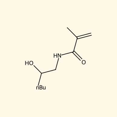 C=C(C)C(=O)NCC(O)CCCC